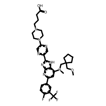 COCC1(CN(C)c2cc(-c3ccc(F)c(C(F)(F)F)c3)nc3nc(-c4cnc(N5CCN(CCCC(=O)O)CC5)cn4)[nH]c23)CCCC1